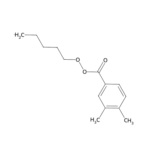 [CH2]CCCCOOC(=O)c1ccc(C)c(C)c1